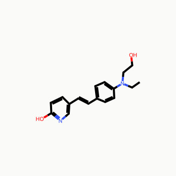 CCN(CCO)c1ccc(/C=C/c2ccc(O)nc2)cc1